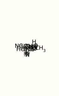 CS(=O)(=O)Nc1nc(C(=O)NC(Cc2ccncc2)C(O)C(O)CC#N)cs1